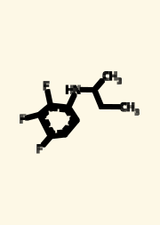 CCC(C)Nc1ccc(F)c(F)c1F